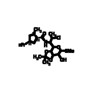 CCC[C@@H]1C[C@@H](C(=O)NC(C(C)Cl)C2OC(SC)C(O)C3OC(C)(C)OC32)N(C)C1